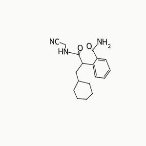 N#CCNC(=O)C(CC1CCCCC1)c1ccccc1C(N)=O